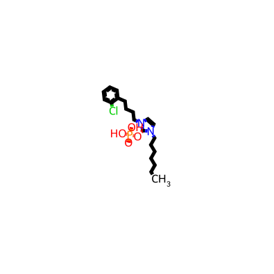 CCCCCCCN1C=CN(CCCCc2ccccc2Cl)C1OP(=O)(O)O